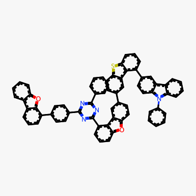 c1ccc(-c2nc(-c3ccc(-c4cccc5c4oc4ccccc45)cc3)nc(-c3cccc4oc5ccc(-c6ccc7sc8cccc(-c9ccc%10c(c9)c9ccccc9n%10-c9ccccc9)c8c7c6)cc5c34)n2)cc1